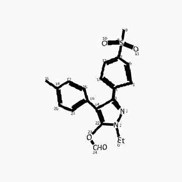 CCn1nc(-c2ccc(S(C)(=O)=O)cc2)c(-c2ccc(C)cc2)c1OC=O